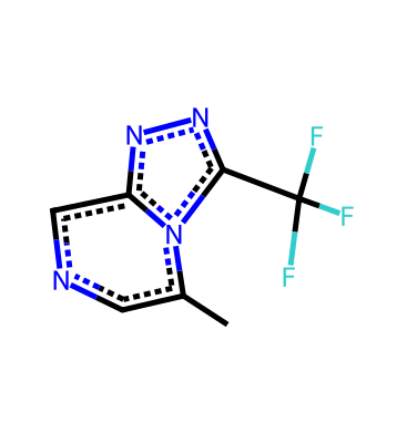 Cc1cncc2nnc(C(F)(F)F)n12